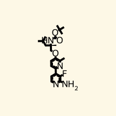 Cc1nc(-c2ccnc(N)c2F)ccc1OC[C@](C)(CC(C)C)NC(=O)OC(C)(C)C